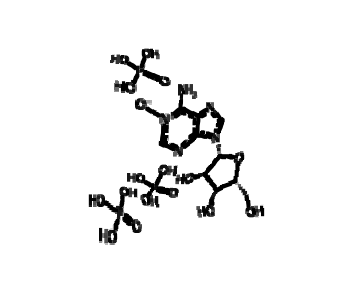 Nc1c2ncn([C@@H]3O[C@H](CO)[C@@H](O)[C@H]3O)c2nc[n+]1[O-].O=P(O)(O)O.O=P(O)(O)O.O=P(O)(O)O